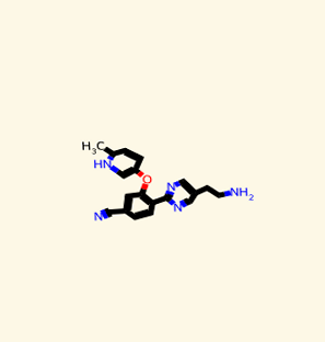 CC1C=CC(Oc2cc(C#N)ccc2-c2ncc(CCN)cn2)=CN1